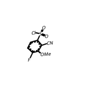 COc1c(F)ccc(S(=O)(=O)Cl)c1C#N